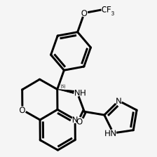 O=C(N[C@]1(c2ccc(OC(F)(F)F)cc2)CCOc2cccnc21)c1ncc[nH]1